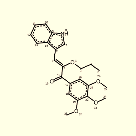 CCCOC(=Cc1c[nH]c2ccccc12)C(=O)c1cc(OC)c(OC)c(OC)c1